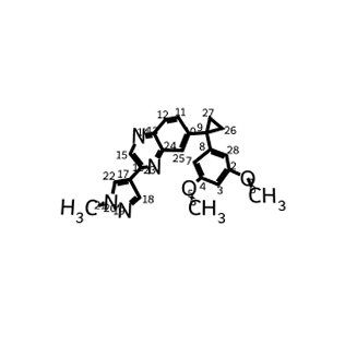 COc1cc(OC)cc(C2(c3ccc4ncc(-c5cnn(C)c5)nc4c3)CC2)c1